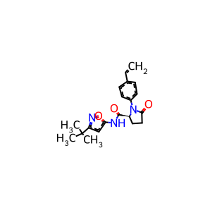 C=Cc1ccc(N2C(=O)CC[C@H]2C(=O)Nc2cc(C(C)(C)C)no2)cc1